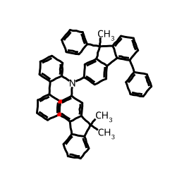 CC1(C)c2ccccc2-c2ccc(N(c3ccc4c(c3)C(C)(c3ccccc3)c3cccc(-c5ccccc5)c3-4)c3ccccc3-c3ccccc3)cc21